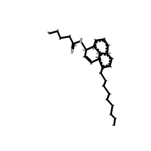 CCCCCCCCCc1ccc2cccc3c2c1C=CC3OC(=O)CCCC